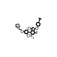 Cc1cc(OCCN2CCCS2)cc(C)c1-c1ccc(F)c2c1CCC2Oc1ccc(C2CC2)cc1